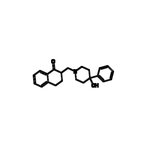 O=C1c2ccccc2CCC1CN1CCC(O)(c2ccccc2)CC1